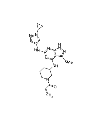 C=CC(=O)N1CCCC(Nc2nc(Nc3cnn(C4CC4)c3)nc3[nH]nc(SC)c23)C1